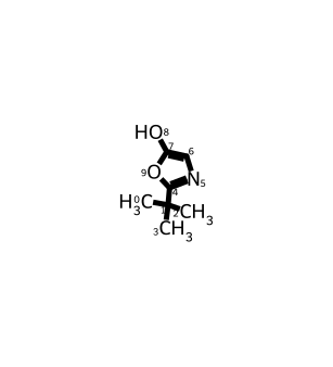 CC(C)(C)c1ncc(O)o1